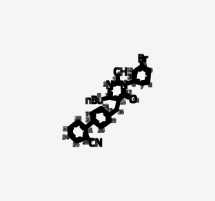 CCCCc1nc(C)n(-c2cccc(Br)c2)c(=O)c1Cc1ccc(-c2ccccc2C#N)cc1